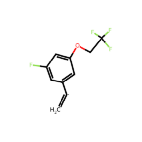 C=[C]c1cc(F)cc(OCC(F)(F)F)c1